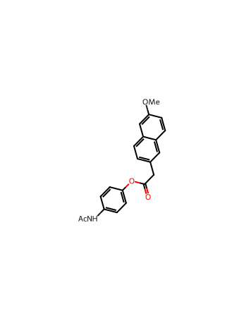 COc1ccc2cc(CC(=O)Oc3ccc(NC(C)=O)cc3)ccc2c1